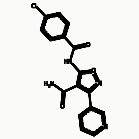 NC(=O)c1c(-c2cccnc2)noc1NC(=O)c1ccc(Cl)cc1